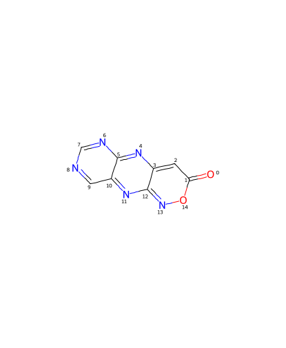 O=c1cc2nc3ncncc3nc2no1